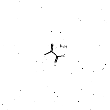 C=C(C)C(=O)Cl.[NaH]